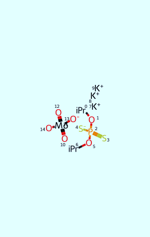 CC(C)OP(=S)([S-])OC(C)C.[K+].[K+].[K+].[O]=[Mo](=[O])([O-])[O-]